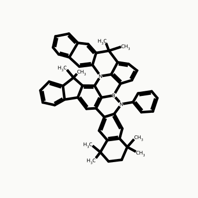 CC1(C)CCC(C)(C)c2cc3c(cc21)-c1cc2c(c4c1B(c1cccc5c1N4c1cc4ccccc4cc1C5(C)C)N3c1ccccc1)C(C)(C)c1ccccc1-2